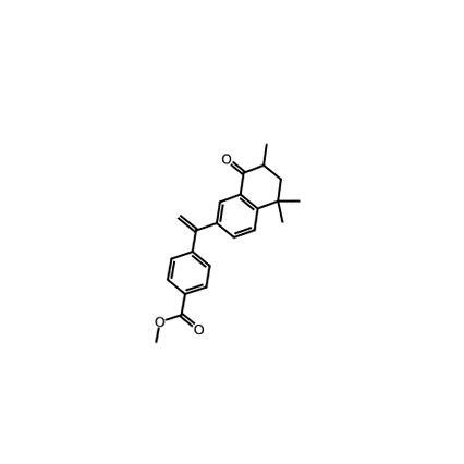 C=C(c1ccc(C(=O)OC)cc1)c1ccc2c(c1)C(=O)C(C)CC2(C)C